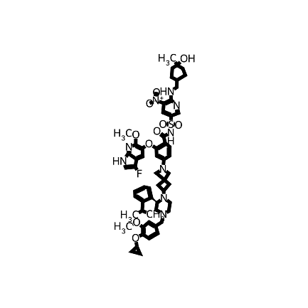 COc1cc(CN2CCN(C3CC4(C3)CN(c3ccc(C(=O)NS(=O)(=O)c5cnc(NCC6CCC(C)(O)CC6)c([N+](=O)[O-])c5)c(Oc5cc6c(F)c[nH]c6nc5OC)c3)C4)[C@H](c3ccccc3C(C)C)C2)ccc1OC1CC1